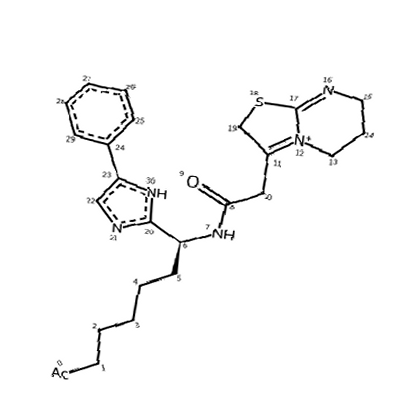 CC(=O)CCCCC[C@H](NC(=O)CC1=[N+]2CCCN=C2SC1)c1ncc(-c2ccccc2)[nH]1